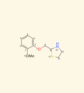 COc1ccccc1OCC1NCCS1